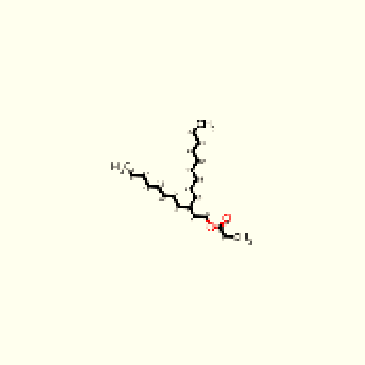 C=CC(=O)OCCC(CCCCCCCC)CCCCCCCCC